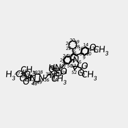 COC(=O)C1(Cn2c(-c3ccc(OC)cc3)c(C3CCCCC3)c3ccc(C(=O)NS(=O)(=O)N(C)CCN4CCN(C(=O)OC(C)(C)C)CC4)cc32)CC1